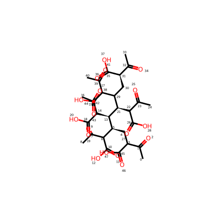 CC(=O)C(C[C@@H](C(C(C)=O)C(=O)O)[C@@H](C(C(C)=O)C(=O)O)[C@H](C(C(C)=O)C(=O)O)C(C[C@H](C(C)=O)C(=O)O)C(C(C)=O)C(=O)O)C(=O)O